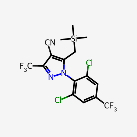 C[Si](C)(C)Cc1c(C#N)c(C(F)(F)F)nn1-c1c(Cl)cc(C(F)(F)F)cc1Cl